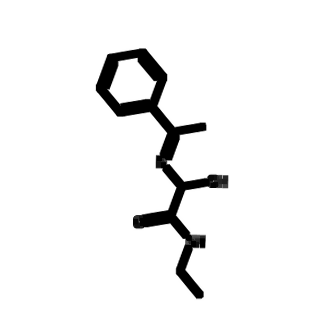 CCNC(=O)C(O)/N=C(\C)c1ccccc1